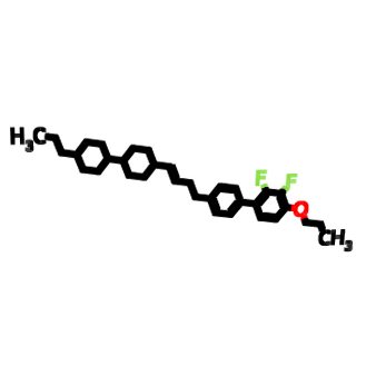 CCCOc1ccc(-c2ccc(CC/C=C/C3CCC(C4CCC(CCC)CC4)CC3)cc2)c(F)c1F